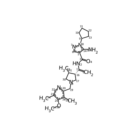 C=C(NC(=O)c1cnn(C2CCCC2)c1N)[C@@H]1CN(Cc2ncc(C)c(OC)c2C)C[C@H]1C